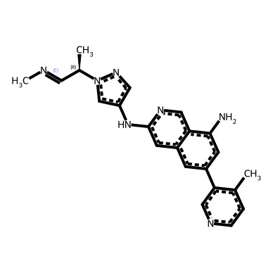 C/N=C/[C@@H](C)n1cc(Nc2cc3cc(-c4cnccc4C)cc(N)c3cn2)cn1